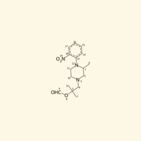 CC1CN(CC(C)(C)OC=O)CCN1c1ccccc1[N+](=O)[O-]